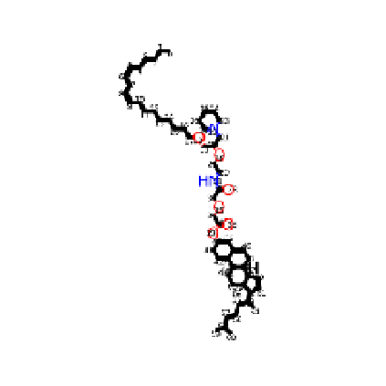 CCCCC/C=C\C/C=C\CCCCCCCCOCC(CN1CCCCC1)OCCNC(=O)COCC(=O)O[C@H]1CC[C@@]2(C)C(=CC[C@H]3C4CCC(C(C)CCCC(C)C)[C@@]4(C)CCC32)C1